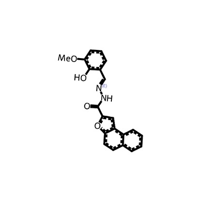 COc1cccc(/C=N/NC(=O)c2cc3c(ccc4ccccc43)o2)c1O